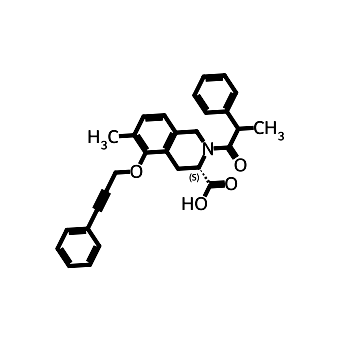 Cc1ccc2c(c1OCC#Cc1ccccc1)C[C@@H](C(=O)O)N(C(=O)C(C)c1ccccc1)C2